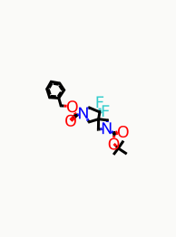 CC(C)(C)OC(=O)N1CC2(CN(C(=O)OCc3ccccc3)CC2(F)F)C1